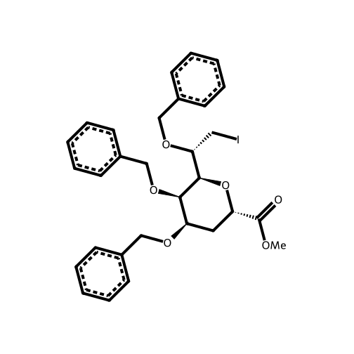 COC(=O)[C@@H]1C[C@@H](OCc2ccccc2)[C@@H](OCc2ccccc2)[C@@H]([C@@H](CI)OCc2ccccc2)O1